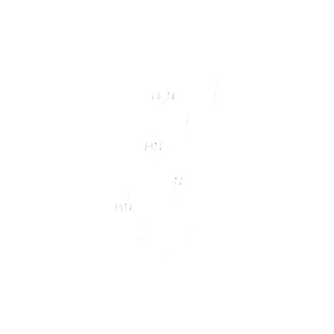 CC(C)C(N)CNC1=CNC2C=CC=CC2=N1